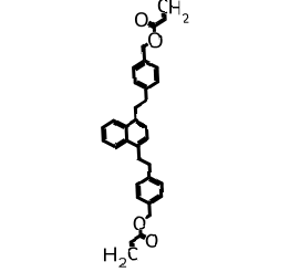 C=CC(=O)OCc1ccc(CCc2ccc(CCc3ccc(COC(=O)C=C)cc3)c3ccccc23)cc1